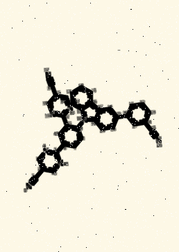 N#Cc1cnc(-c2ccc(-n3c4ccccc4c4cc(-c5cccc(C#N)c5)ccc43)c(-c3ncc(C#N)cn3)c2)nc1